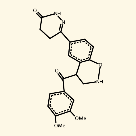 COc1ccc(C(=O)C2CNOc3ccc(C4=NNC(=O)CC4)cc32)cc1OC